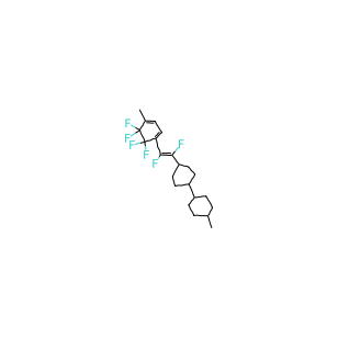 CC1=CC=C(/C(F)=C(\F)C2CCC(C3CCC(C)CC3)CC2)C(F)(F)C1(F)F